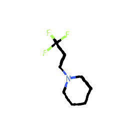 FC(F)(F)CCN1CCCCC1